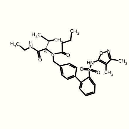 CCCC(=O)N(Cc1ccc(-c2ccccc2S(=O)(=O)Nc2onc(C)c2C)cc1)[C@H](C(=O)NCC)C(C)C